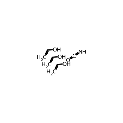 C=CO.C=CO.C=CO.N=C=O